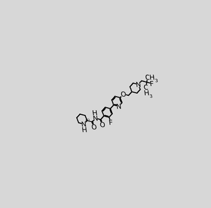 CC(C)(F)CN1CCC(COc2ccc(-c3ccc(C(=O)NC(=O)[C@@H]4CCCCN4)c(F)c3)nc2)CC1